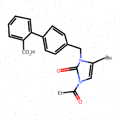 CCC(=O)n1cc(C(C)CC)n(Cc2ccc(-c3ccccc3C(=O)O)cc2)c1=O